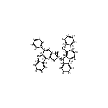 c1ccc(-c2cc3nc(-n4c5ccccc5c5ccc6c7ccccc7oc6c54)sc3c3c2sc2ccccc23)cc1